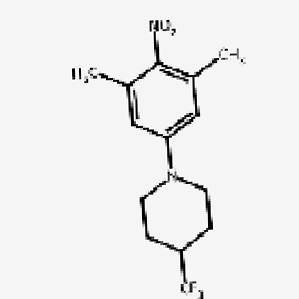 Cc1cc(N2CCC(C(F)(F)F)CC2)cc(C)c1[N+](=O)[O-]